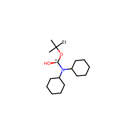 CCC(C)(C)O[C@H](O)N(C1CCCCC1)C1CCCCC1